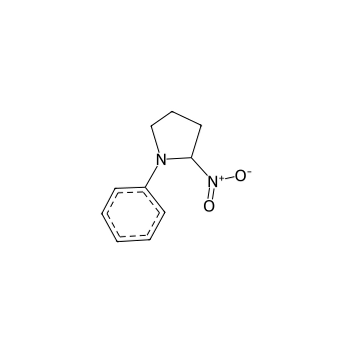 O=[N+]([O-])C1CCCN1c1ccccc1